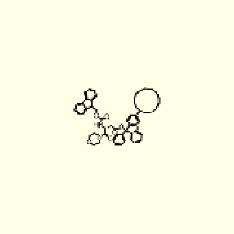 O=C(C[C@H](NC(=O)OCC1c2ccccc2-c2ccccc21)C(=O)N1CCOCC1)OC(c1ccccc1)(c1ccc(C2CCCCCCCCCCCC2)cc1)c1ccccc1Cl